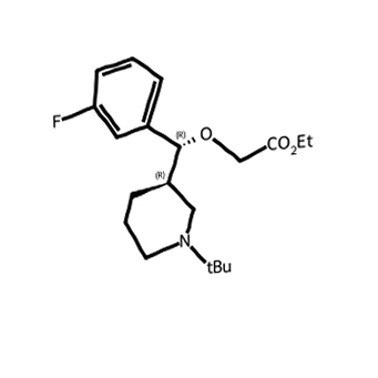 CCOC(=O)CO[C@@H](c1cccc(F)c1)[C@@H]1CCCN(C(C)(C)C)C1